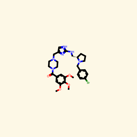 COc1cc(C(=O)N2CCN(Cc3c[nH]c(NC[C@@H]4CCCN4Cc4ccc(Br)cc4)n3)CC2)cc(OC)c1OC